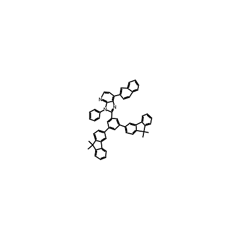 CC1(C)c2ccccc2-c2cc(-c3cc(-c4ccc5c(c4)-c4ccccc4C5(C)C)cc(-c4nc5c(-c6ccc7ccccc7c6)ccnc5n4-c4ccccc4)c3)ccc21